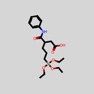 CCO[Si](CCCC(CC(=O)O)C(=O)Nc1ccccc1)(OCC)OCC